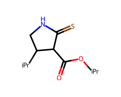 CC(C)OC(=O)C1C(=S)NCC1C(C)C